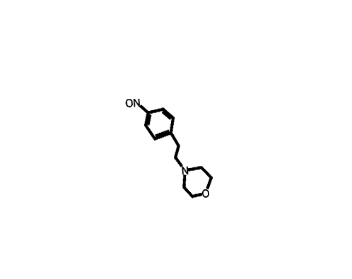 O=Nc1ccc(CCN2CCOCC2)cc1